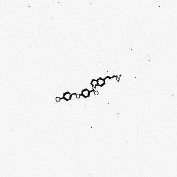 CN(C)CC=Cc1ccc2c(c1)CCN2C(=O)c1ccc(OCc2ccc(Cl)cc2)cc1